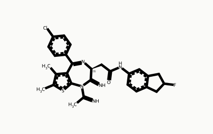 CC(=N)N1C(=N)[C@H](CC(=O)Nc2ccc3c(c2)CC(F)C3)N=C(c2ccc(Cl)cc2)c2c1sc(C)c2C